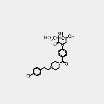 CCC(S)(C(=O)O)C(=O)N(CCO)c1ccc(C(=O)N2CCN(CCc3ccc(Cl)cc3)CC2)cc1